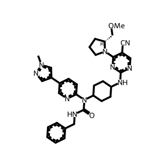 COC[C@H]1CCCN1c1nc(NC2CCC(N(C(=O)NCc3ccccc3)c3ccc(-c4cnn(C)c4)cn3)CC2)ncc1C#N